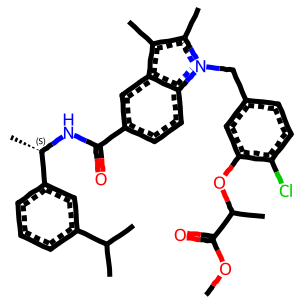 COC(=O)C(C)Oc1cc(Cn2c(C)c(C)c3cc(C(=O)N[C@@H](C)c4cccc(C(C)C)c4)ccc32)ccc1Cl